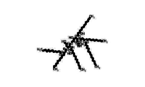 CCCCCCCCCCCCCCCC(=O)O[C@H](CCCCCCCCCCC)CC(=O)N[C@@H]1C(OP(C)(=O)O)OC(CO[C@@H]2OC(CO)CC(OC(=O)C[C@@H](CCCCCCCCCCC)OC(=O)CCCCCCCCCCC)[C@@H]2NC(=O)C[C@H](O)CCCCCCCCCCC)[C@@H](O)C1OC(=O)C[C@H](O)CCCCCCCCCCC